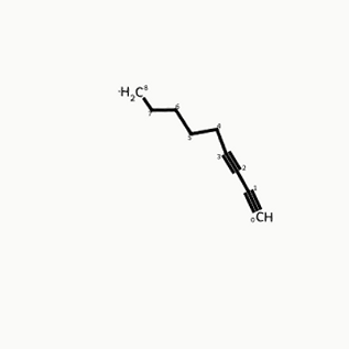 C#CC#CCCCC[CH2]